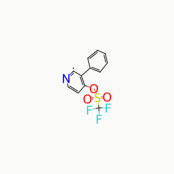 O=S(=O)(Oc1ccn[c]c1-c1ccccc1)C(F)(F)F